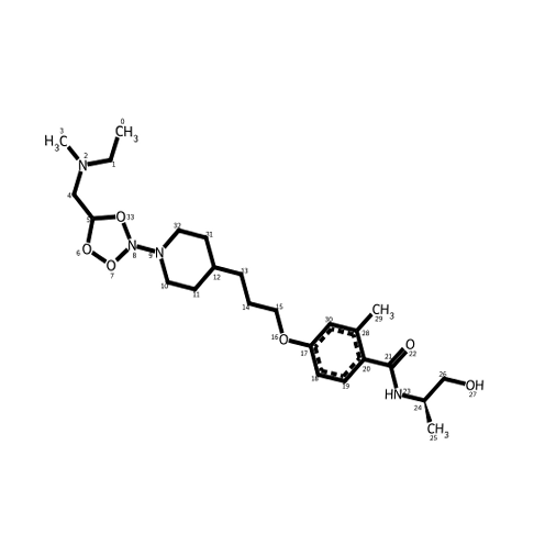 CCN(C)CC1OON(N2CCC(CCCOc3ccc(C(=O)N[C@H](C)CO)c(C)c3)CC2)O1